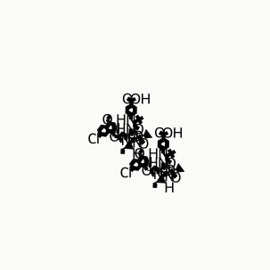 C=C[C@@H]1C[C@@]1(C(=O)NS(=O)(=O)C1CC1)N1CC(Oc2ncc(OC)c3ccc(Cl)cc23)C[C@H]1C(=O)NC(=O)[C@H](Nc1ccc(C(=O)O)cc1)C(C)(C)C.C=C[C@@H]1C[C@@]1(C(=O)NS(=O)(=O)C1CC1)N1C[C@H](Oc2ncc(OC)c3ccc(Cl)cc23)C[C@H]1C(=O)NC(=O)[C@@H](Nc1ccc(C(=O)O)cc1)C(C)(C)C